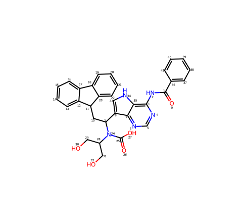 O=C(Nc1ncnc2c(C(CC3c4ccccc4-c4ccccc43)N(C(=O)O)C(CO)CO)c[nH]c12)c1ccccc1